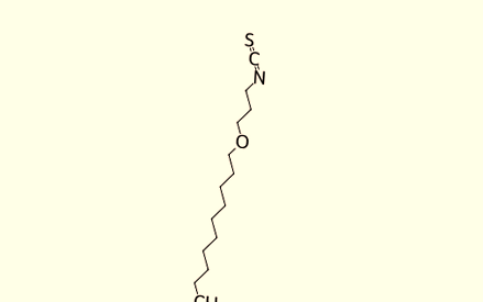 CCCCCCCCCCOCCCN=C=S